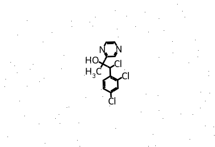 CC(O)(c1cnccn1)C(Cl)c1ccc(Cl)cc1Cl